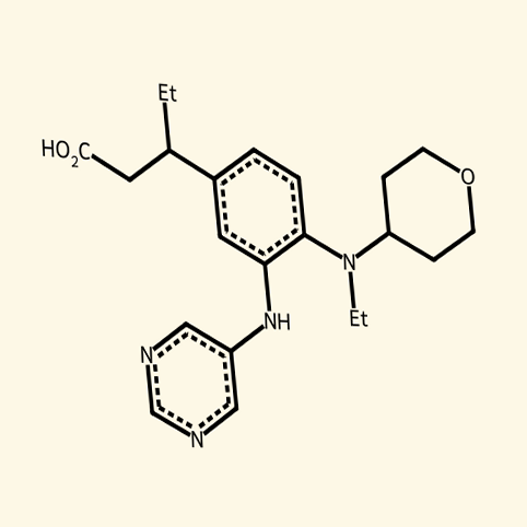 CCC(CC(=O)O)c1ccc(N(CC)C2CCOCC2)c(Nc2cncnc2)c1